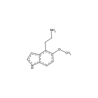 COc1ccc2[nH]ccc2c1CCN